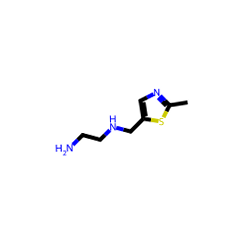 Cc1ncc(CNCCN)s1